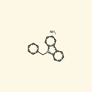 N.c1ccc(Cn2c3ccccc3c3ccccc32)cc1